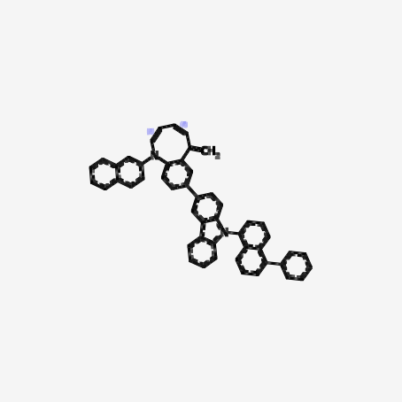 C=C1/C=C\C=C/N(c2ccc3ccccc3c2)c2ccc(-c3ccc4c(c3)c3ccccc3n4-c3cccc4c(-c5ccccc5)cccc34)cc21